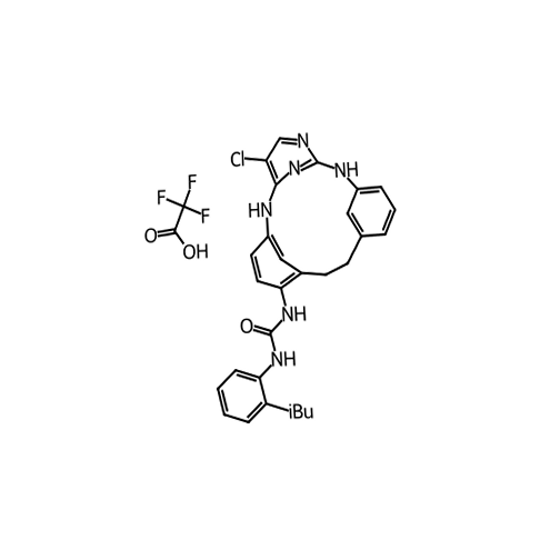 CCC(C)c1ccccc1NC(=O)Nc1ccc2cc1CCc1cccc(c1)Nc1ncc(Cl)c(n1)N2.O=C(O)C(F)(F)F